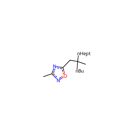 CCCCCCCC(C)(CCCC)Cc1nc(C)no1